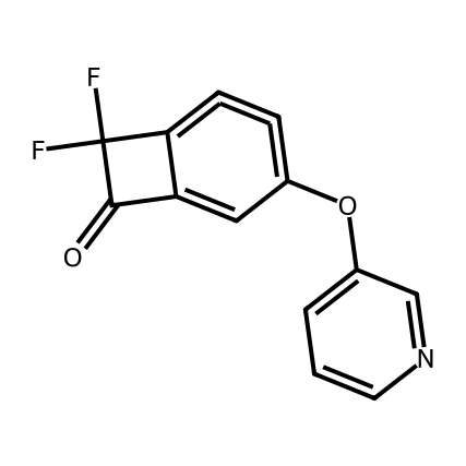 O=C1C2=CC(Oc3cccnc3)=C=C=C2C1(F)F